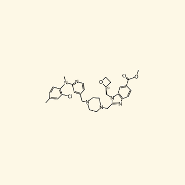 COC(=O)c1ccc2nc(CN3CCN(Cc4ccnc(N(C)c5ccc(C)cc5Cl)c4)CC3)n(C[C@@H]3CCO3)c2c1